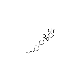 C=CCC[C@H]1CC[C@H](C2CCC(C(=O)Oc3ccc(F)c(Cl)c3)CC2)CC1